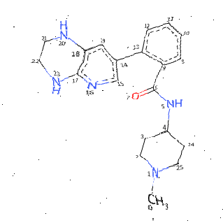 CN1CCC(NC(=O)c2ccccc2-c2cnc3c(c2)NCCN3)CC1